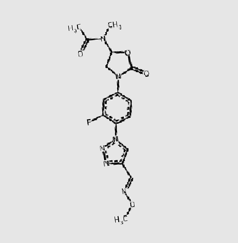 CON=Cc1cn(-c2ccc(N3CC(N(C)C(C)=O)OC3=O)cc2F)nn1